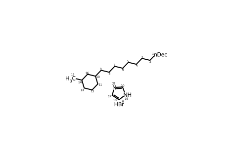 Br.CCCCCCCCCCCCCCCCCCC1CCCC(C)C1.c1c[nH]cn1